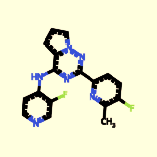 Cc1nc(-c2nc(Nc3ccncc3F)c3cccn3n2)ccc1F